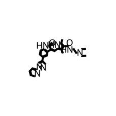 CCN(CC)CCNC(=O)c1c(C)[nH]c(/C=C2\C(=O)Nc3ccc(-c4cnn(-c5ccccn5)c4)cc32)c1C